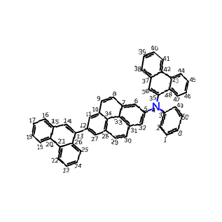 c1ccc(N(c2cc3ccc4cc(-c5cc6ccccc6c6ccccc56)cc5ccc(c2)c3c45)c2cc3ccccc3c3ccccc23)cc1